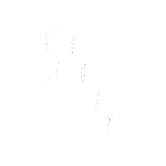 COc1ccccc1/C=C/CCC(=O)O